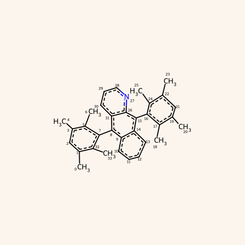 Cc1cc(C)c(C)c(-c2c3ccccc3c(-c3c(C)c(C)cc(C)c3C)c3ncccc23)c1C